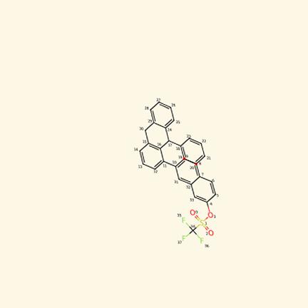 O=S(=O)(Oc1ccc2ccc(-c3cccc4c3C(c3ccccc3)c3ccccc3C4)cc2c1)C(F)(F)F